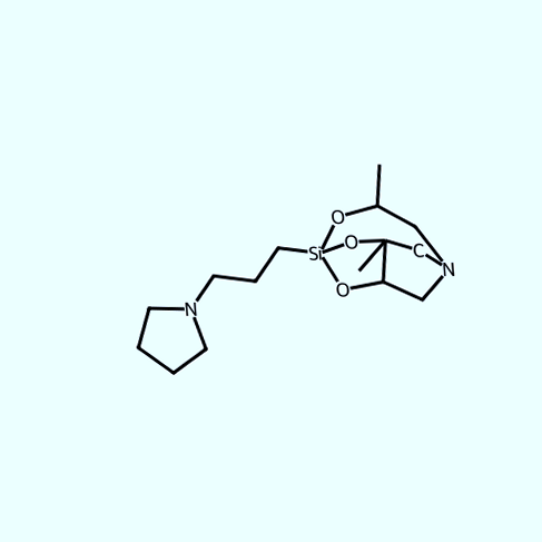 CC1CN2CC3O[Si](CCCN4CCCC4)(O1)OC3(C)C2